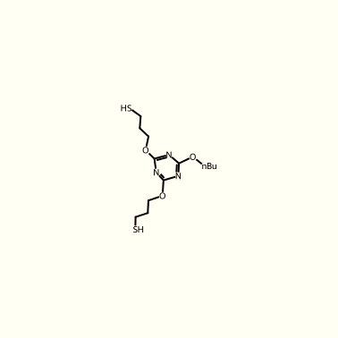 CCCCOc1nc(OCCCS)nc(OCCCS)n1